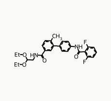 CCOC(CNC(=O)c1ccc(C)c(-c2ccc(NC(=O)c3c(F)cccc3F)cc2)c1)OCC